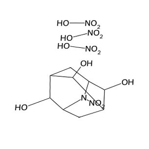 O=[N+]([O-])N1C2CC3C(O)C(CC1C3O)C2O.O=[N+]([O-])O.O=[N+]([O-])O.O=[N+]([O-])O